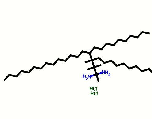 CCCCCCCCCCCCCCC(CCCCCCCCCC)C(C)(CCCCCCCCCC)C(C)(C)C(C)(N)N.Cl.Cl